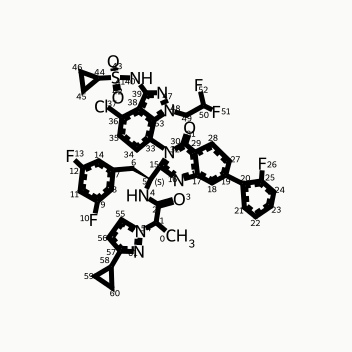 CC(C(=O)N[C@@H](Cc1cc(F)cc(F)c1)c1nc2cc(-c3ccccc3F)ccc2c(=O)n1-c1ccc(Cl)c2c(NS(=O)(=O)C3CC3)nn(CC(F)F)c12)n1ccc(C2CC2)n1